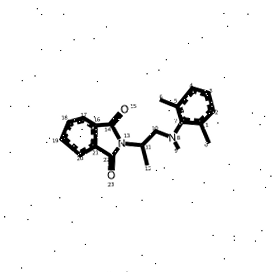 Cc1cccc(C)c1N(C)CC(C)N1C(=O)c2ccccc2C1=O